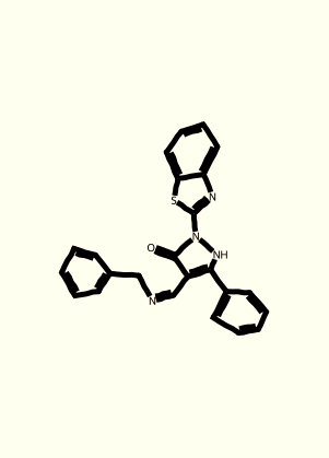 O=c1c(/C=N\Cc2ccccc2)c(-c2ccccc2)[nH]n1-c1nc2ccccc2s1